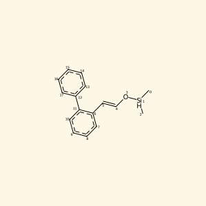 C[SiH](C)OC=Cc1ccccc1-c1ccccc1